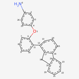 Nc1ccc(Oc2ccccc2-c2cccc3c2Cc2ccccc2-3)cc1